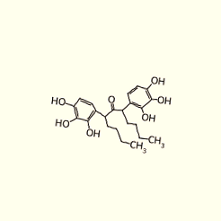 CCCCC(C(=O)C(CCCC)c1ccc(O)c(O)c1O)c1ccc(O)c(O)c1O